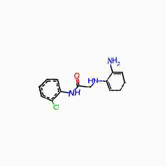 NC1=CCCC=C1NCC(=O)Nc1ccccc1Cl